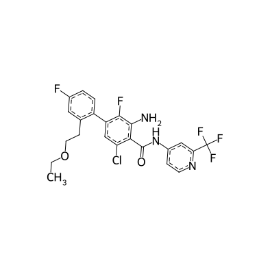 CCOCCc1cc(F)ccc1-c1cc(Cl)c(C(=O)Nc2ccnc(C(F)(F)F)c2)c(N)c1F